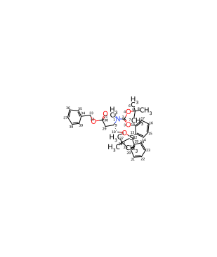 CN(C(=O)OC(C)(C)C)[C@H](CO[Si](c1ccccc1)(c1ccccc1)C(C)(C)C)CC(=O)OCc1ccccc1